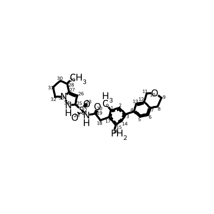 Cc1cc(C2=C=C=C3CCOCC3=C2)cc(P)c1CC(=O)NS(=O)(=O)C1C=C2C(C)CCCN2N1